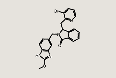 COc1nc2cc(CN3C(=O)c4ccccc4C3Cc3ncccc3Br)ccc2[nH]1